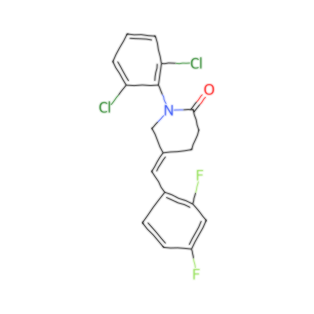 O=C1CC/C(=C\c2ccc(F)cc2F)CN1c1c(Cl)cccc1Cl